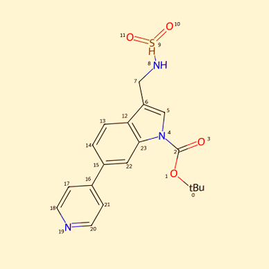 CC(C)(C)OC(=O)n1cc(CN[SH](=O)=O)c2ccc(-c3ccncc3)cc21